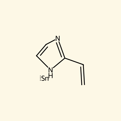 C=Cc1ncc[nH]1.[Sn]